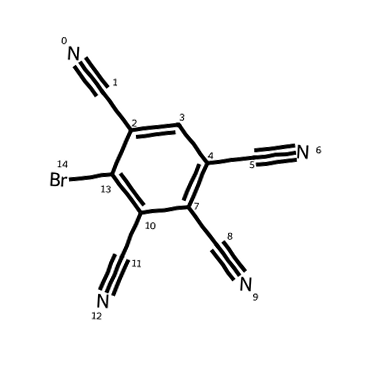 N#Cc1cc(C#N)c(C#N)c(C#N)c1Br